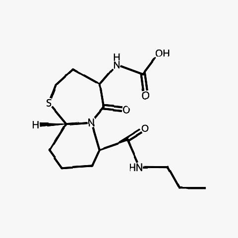 CCCNC(=O)C1CCC[C@@H]2SCCC(NC(=O)O)C(=O)N12